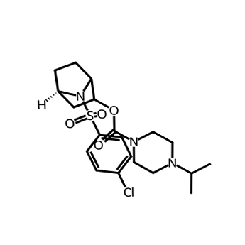 CC(C)N1CCN(C(=O)OC2C[C@H]3CCC2N3S(=O)(=O)c2ccc(Cl)cc2)CC1